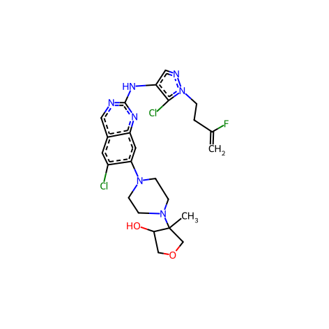 C=C(F)CCn1ncc(Nc2ncc3cc(Cl)c(N4CCN(C5(C)COCC5O)CC4)cc3n2)c1Cl